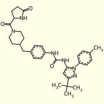 Cc1ccc(-n2nc(C(C)(C)C)cc2NC(=O)Nc2ccc(CC3CCN(C(=O)C4CCC(=O)N4)CC3)cc2)cc1